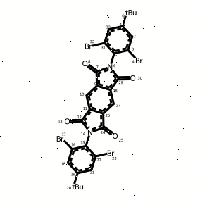 CC(C)(C)c1cc(Br)c(-n2c(=O)c3cc4c(=O)n(-c5c(Br)cc(C(C)(C)C)cc5Br)c(=O)c4cc3c2=O)c(Br)c1